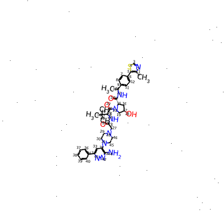 Cc1ncsc1-c1ccc([C@H](C)NC(=O)[C@@H]2C[C@@H](O)CN2C(=O)[C@@H](NC(=O)CN2CCN(c3cc(-c4ccccc4)nnc3N)CC2)C(C)(C)C)cc1